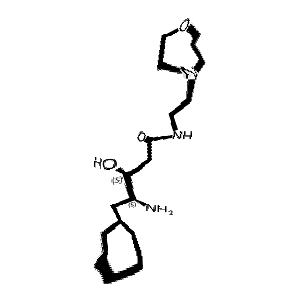 N[C@@H](CC1CCCCC1)[C@@H](O)CC(=O)NCCN1CCOCC1